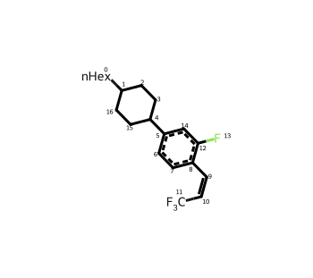 CCCCCCC1CCC(c2ccc(/C=C\C(F)(F)F)c(F)c2)CC1